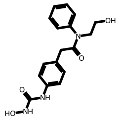 O=C(NO)Nc1ccc(CC(=O)N(CCO)c2ccccc2)cc1